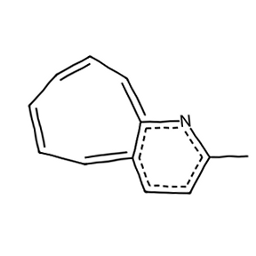 Cc1ccc2/c(n1)=C\C=C/C=C\C=2